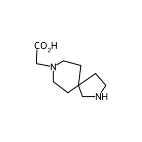 O=C(O)CN1CCC2(CCNC2)CC1